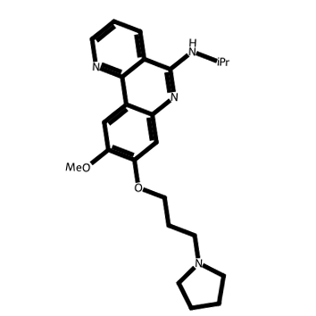 COc1cc2c(cc1OCCCN1CCCC1)nc(NC(C)C)c1cccnc12